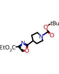 CCOC(=O)c1coc(C2CCN(C(=O)OC(C)(C)C)CC2)n1